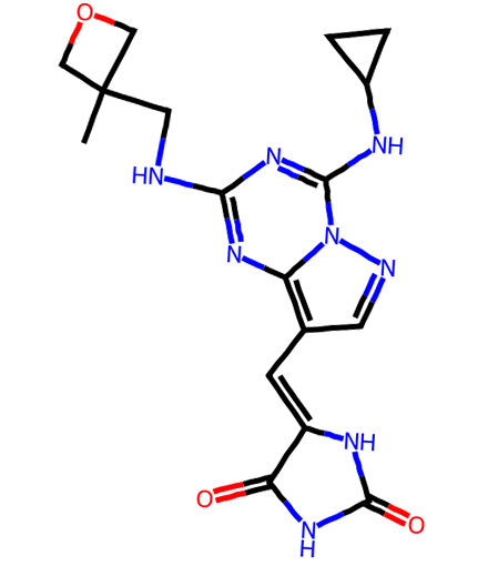 CC1(CNc2nc(NC3CC3)n3ncc(/C=C4\NC(=O)NC4=O)c3n2)COC1